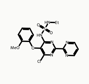 CCNS(=O)(=O)Nc1nc(-c2ncccn2)nc(Cl)c1Oc1ccccc1OC